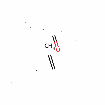 C.C=C.C=O